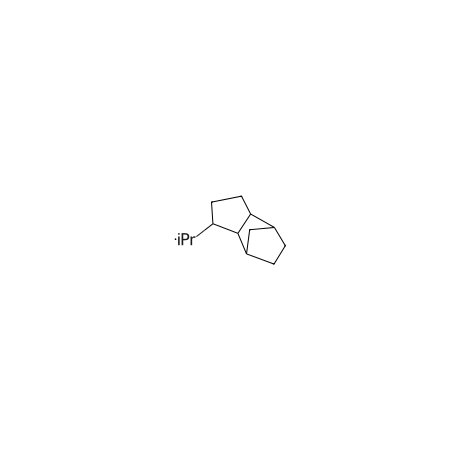 C[C](C)C1CCC2C3CCC(C3)C12